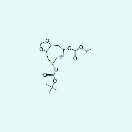 CC(C)OC(=O)OC1/C=C/C(OC(=O)OC(C)(C)C)CC2OCOC2C1